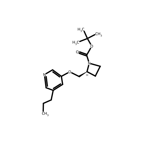 CCCc1cncc(OC[C@@H]2CCN2C(=O)OC(C)(C)C)c1